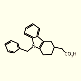 O=C(O)CC1CCc2c(c3ccccc3n2Cc2ccccc2)C1